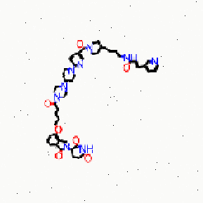 O=C(/C=C/c1cccnc1)NCCCCC1CCN(C(=O)c2ccc(N3CCC(N4CCN(C(=O)CCCCOc5cccc6c5CN(C5CCC(=O)NC5=O)C6=O)CC4)CC3)nc2)CC1